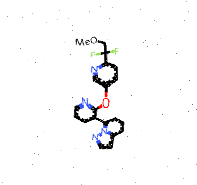 COCC(F)(F)c1ccc(Oc2ncccc2-c2cccc3ccnn23)cn1